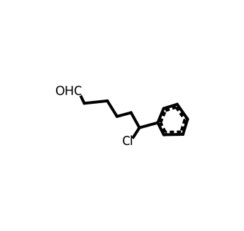 O=CCCCCC(Cl)c1ccccc1